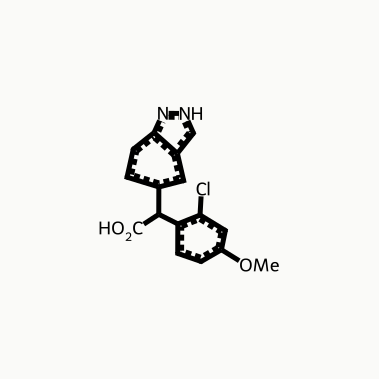 COc1ccc(C(C(=O)O)c2ccc3n[nH]cc3c2)c(Cl)c1